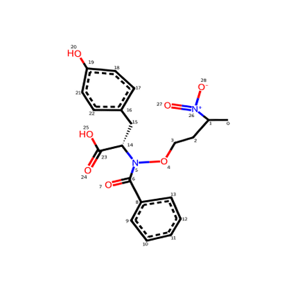 CC(CCON(C(=O)c1ccccc1)[C@@H](Cc1ccc(O)cc1)C(=O)O)[N+](=O)[O-]